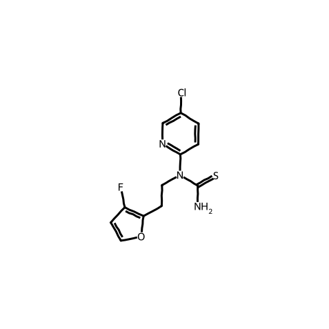 NC(=S)N(CCc1occc1F)c1ccc(Cl)cn1